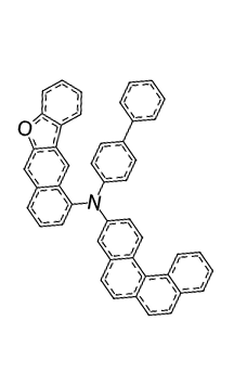 c1ccc(-c2ccc(N(c3ccc4c(ccc5ccc6ccccc6c54)c3)c3cccc4cc5oc6ccccc6c5cc34)cc2)cc1